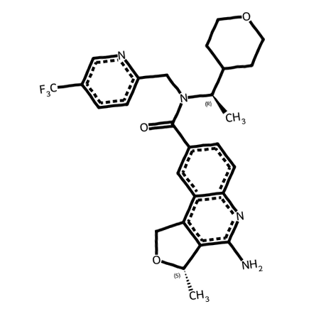 C[C@@H]1OCc2c1c(N)nc1ccc(C(=O)N(Cc3ccc(C(F)(F)F)cn3)[C@H](C)C3CCOCC3)cc21